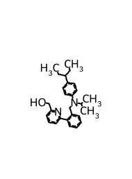 CCC(CC)c1ccc(N(Cc2ccccc2-c2cccc(CO)n2)C(C)C)cc1